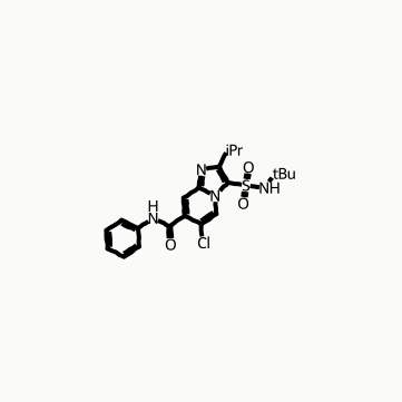 CC(C)c1nc2cc(C(=O)Nc3ccccc3)c(Cl)cn2c1S(=O)(=O)NC(C)(C)C